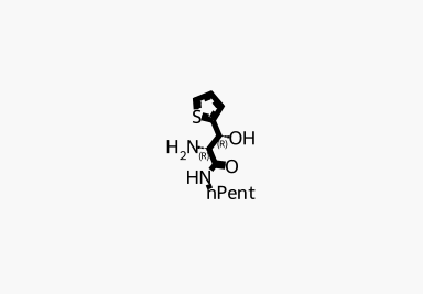 CCCCCNC(=O)[C@H](N)[C@@H](O)c1cccs1